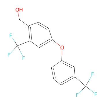 OCc1ccc(Oc2cccc(C(F)(F)F)c2)cc1C(F)(F)F